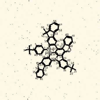 CC(C)(C)c1ccc(Nc2cc3c(cc2-c2c4c5c(c6cc(C(C)(C)C)ccc6n5-c5cc6c(cc5B4)sc4ccccc46)c4oc5ccccc5c24)-c2ccccc2C3(C)C)cc1